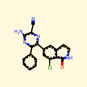 N#Cc1nc(-c2cc(Cl)c3c(=O)[nH]ccc3c2)c(-c2ccccc2)nc1N